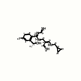 C[C@@H](O)c1cc(F)ccc1/C(=N/C=N)NC/C(C=N)=C/NCC1CC1